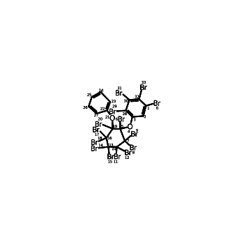 Brc1cc(OC2(Br)C(Br)(Br)C(Br)(Br)C(Br)(Br)C(Br)(Br)C2(Br)Oc2ccccc2)c(Br)c(Br)c1Br